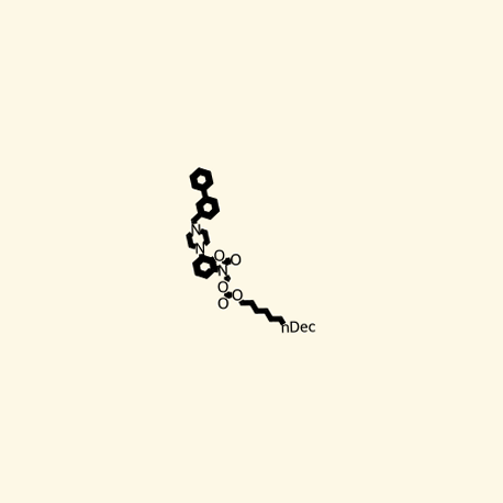 CCCCCCCCCCCCCCCCOC(=O)OCn1c(=O)oc2c(N3CCN(Cc4cccc(-c5ccccc5)c4)CC3)cccc21